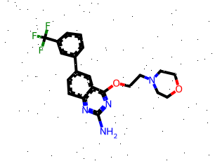 Nc1nc(OCCN2CCOCC2)c2cc(-c3cccc(C(F)(F)F)c3)ccc2n1